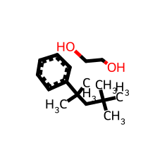 CC(C)(C)CC(C)(C)c1ccccc1.OCCO